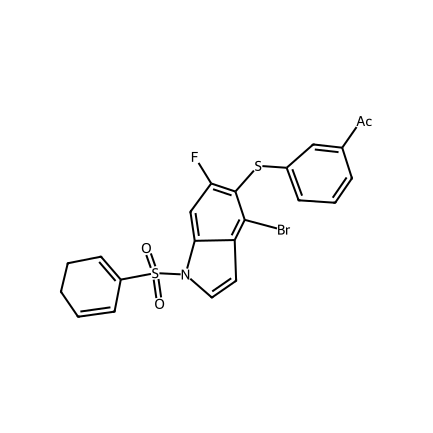 CC(=O)c1cccc(Sc2c(F)cc3c(ccn3S(=O)(=O)C3=CCCC=C3)c2Br)c1